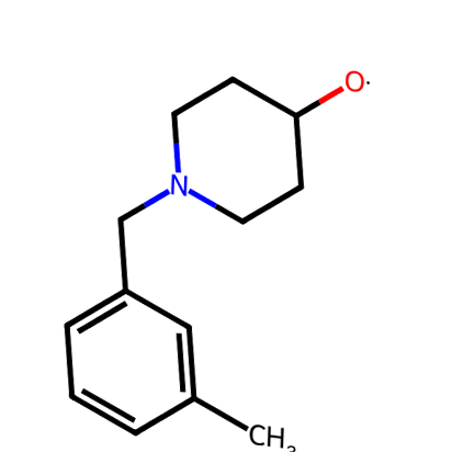 Cc1cccc(CN2CCC([O])CC2)c1